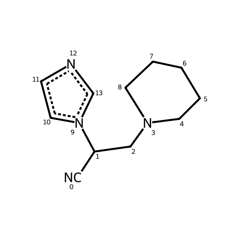 N#CC(CN1CCCCC1)n1ccnc1